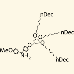 CCCCCCCCCCCCCCCCCCOC1CC(COc2ccc(C(N)c3ccc(OC)cc3)cc2)CC(OCCCCCCCCCCCCCCCCCC)C1OCCCCCCCCCCCCCCCCCC